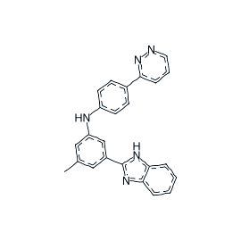 Cc1cc(Nc2ccc(-c3cccnn3)cc2)cc(-c2nc3ccccc3[nH]2)c1